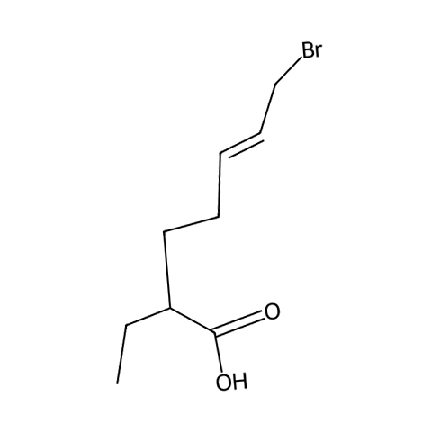 CCC(CC/C=C/CBr)C(=O)O